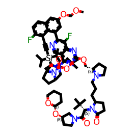 COCOc1cc(-c2ncc3c(N4CC5CCC(C4)N5C(=O)OC(C)(C)C)nc(OC[C@@H]4CCCN4CCCC4CCC(=O)N4[C@H](C(=O)N4CC[C@@H](O[C@H]5CCCCO5)C4)C(C)(C)C)nc3c2F)c2c(C#C[Si](C(C)C)(C(C)C)C(C)C)c(F)ccc2c1